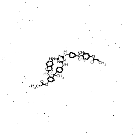 C=CC(=O)Oc1ccc(C(C)(C)c2ccc(Nc3nc(Nc4ccc(C(C)(C)c5ccc(OC(=O)C=C)cc5)cc4)nc(Nc4ccc5nc(S)sc5c4)n3)cc2)cc1